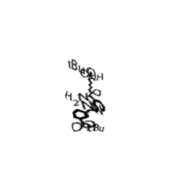 CC(C)(C)OC(=O)NCCCCCC(=O)C(N)c1cccn2cc(-c3cccc(C(=O)OC(C)(C)C)c3)nc12